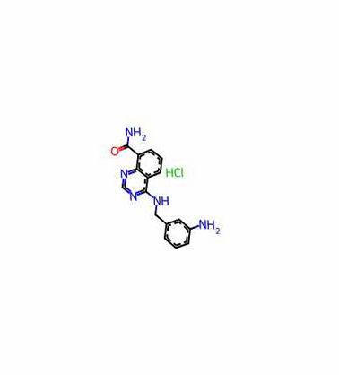 Cl.NC(=O)c1cccc2c(NCc3cccc(N)c3)ncnc12